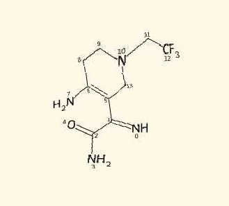 N=C(C(N)=O)C1=C(N)CCN(CC(F)(F)F)C1